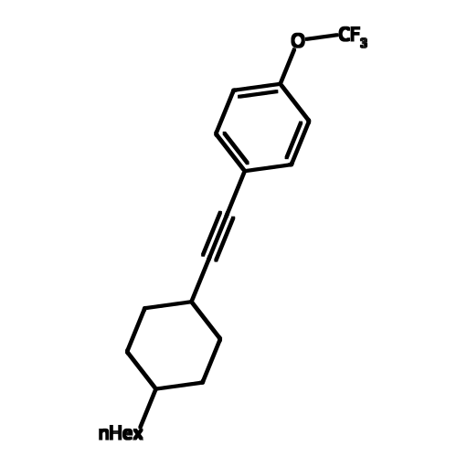 CCCCCCC1CCC(C#Cc2ccc(OC(F)(F)F)cc2)CC1